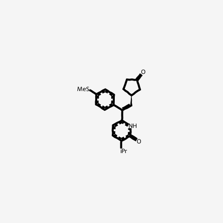 CSc1ccc(/C(=C\[C@H]2CCC(=O)C2)c2ccc(C(C)C)c(=O)[nH]2)cc1